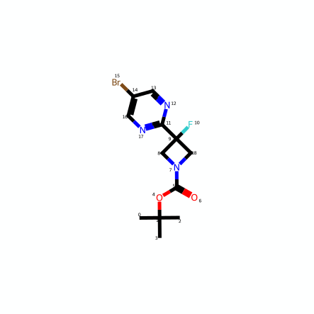 CC(C)(C)OC(=O)N1CC(F)(c2ncc(Br)cn2)C1